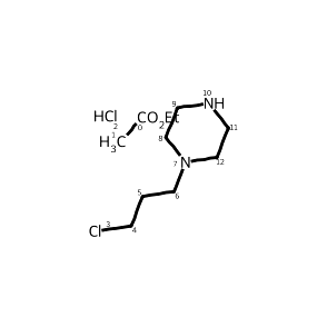 CCOC(C)=O.Cl.ClCCCN1CCNCC1